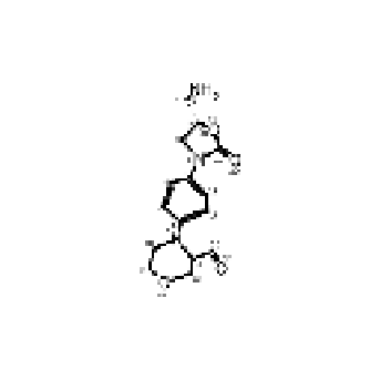 NC[C@H]1CN(c2ccc(N3CCOCC3C=O)cc2)C(=O)O1